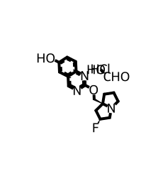 Cl.O=CO.Oc1ccc2nc(OC[C@@]34CCCN3C[C@H](F)C4)ncc2c1